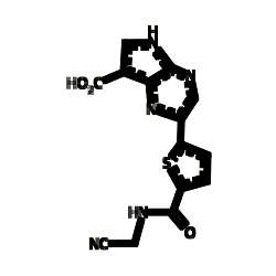 N#CCNC(=O)c1ccc(-c2cnc3[nH]cc(C(=O)O)c3n2)s1